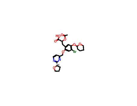 CC(=O)OC(Cc1cc(OC2CCCCO2)c(Br)cc1OCc1ccnc([C@@H]2CCCO2)n1)C(=O)O